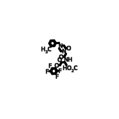 Cc1cccc(CN2CCN(CC(=O)NC(CC(=O)O)C(=O)COc3c(F)c(F)cc(F)c3F)C(=O)C2)c1